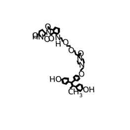 CCC(=C(c1ccc(O)cc1)c1ccc(OCCN2CCN(C(=O)CCOCCOCCNc3cccc4c3C(=O)N(C3CCC(=O)NC3=O)C4=O)CC2)cc1)c1ccc(O)cc1